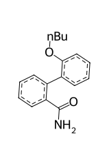 CCCCOc1ccccc1-c1ccccc1C(N)=O